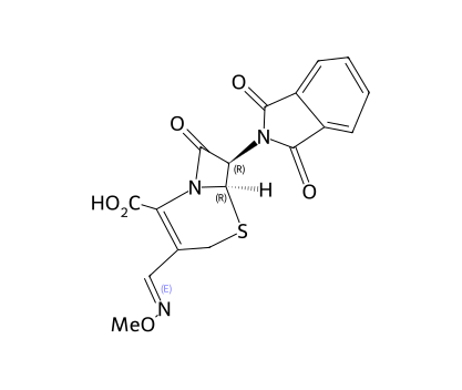 CO/N=C/C1=C(C(=O)O)N2C(=O)[C@@H](N3C(=O)c4ccccc4C3=O)[C@H]2SC1